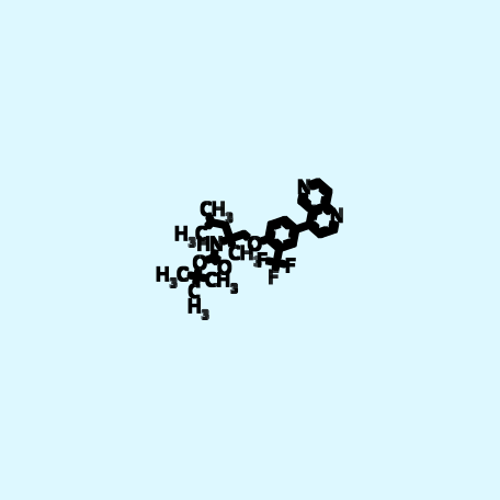 CC(C)CC(C)(COc1ccc(-c2ccnc3ccncc23)cc1C(F)(F)F)NC(=O)OC(C)(C)C